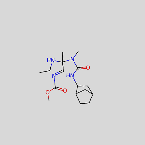 CCNC(C)(C=NC(=O)OC)N(C)C(=O)NC1CC2CCC1C2